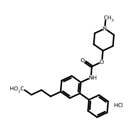 CN1CCC(OC(=O)Nc2ccc(CCCC(=O)O)cc2-c2ccccc2)CC1.Cl